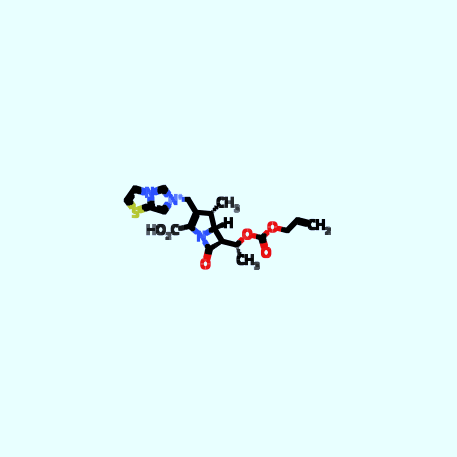 C=CCOC(=O)O[C@H](C)[C@H]1C(=O)N2C(C(=O)O)=C(C[n+]3cc4sccn4c3)[C@H](C)[C@H]12